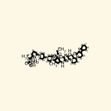 C=CC(=O)Nc1cc(Nc2nc(N3CCCC(N4CCc5c(sc6c5CCCC6)C4=O)C3CO)cnc2OC)ccc1N1CCN(C2CCN(c3cccc(C(C)(C)OP(=O)(O)O)n3)CC2)C[C@@H]1C